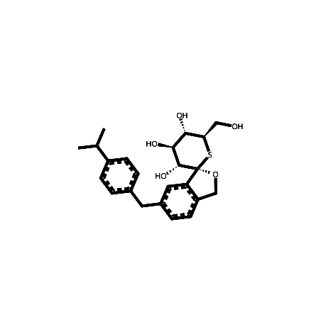 CC(C)c1ccc(Cc2ccc3c(c2)[C@]2(OC3)S[C@H](CO)[C@@H](O)[C@H](O)[C@H]2O)cc1